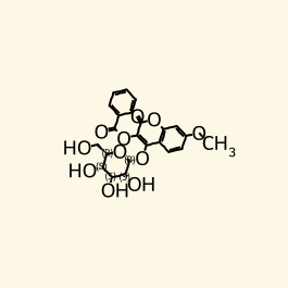 COc1ccc2c(O[C@H]3O[C@H](CO)[C@@H](O)[C@H](O)[C@@H]3O)c(OC(=O)c3ccccc3)c(=O)oc2c1